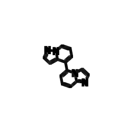 c1cc(-c2cccn3nccc23)n2ccnc2c1